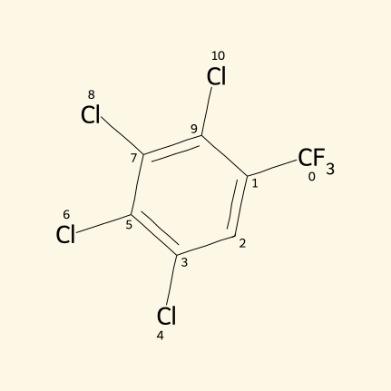 FC(F)(F)c1cc(Cl)c(Cl)c(Cl)c1Cl